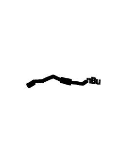 C=CCCC#CCCCCC